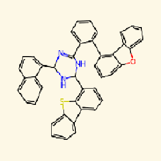 c1ccc(-c2cccc3oc4ccccc4c23)c(C2=NC(c3cccc4ccccc34)NC(c3cccc4c3sc3ccccc34)N2)c1